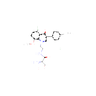 CCCOc1ccc(F)c2c(=O)c(-c3ccc(OC)cc3)cn(CCNC(=O)C(N)CO)c12.Cl